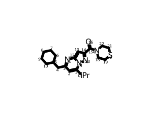 CC(C)c1cc(CC2CCCCC2)nc2cc(C(=O)N3CCSCC3)nn12